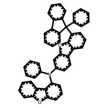 c1ccc(N(c2ccc3c(c2)oc2c(C4(c5ccccc5)c5ccccc5-c5ccccc54)cccc23)c2cccc3oc4ccccc4c23)cc1